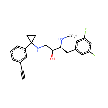 C#Cc1cccc(C2(NC[C@H](O)[C@H](Cc3cc(F)cc(F)c3)NC(=O)O)CC2)c1